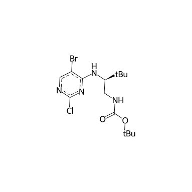 CC(C)(C)OC(=O)NC[C@@H](Nc1nc(Cl)ncc1Br)C(C)(C)C